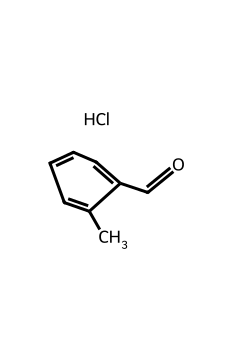 Cc1ccccc1C=O.Cl